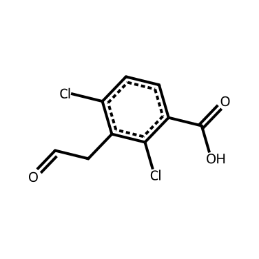 O=CCc1c(Cl)ccc(C(=O)O)c1Cl